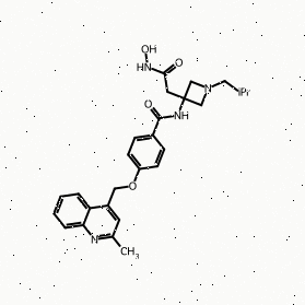 Cc1cc(COc2ccc(C(=O)NC3(CC(=O)NO)CN(CC(C)C)C3)cc2)c2ccccc2n1